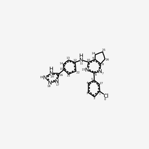 Clc1cccc(-c2nc3c(c(Nc4ccc(-c5nnn[nH]5)cc4)n2)CCC3)c1